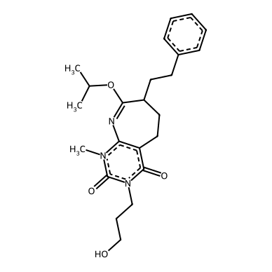 CC(C)OC1=Nc2c(c(=O)n(CCCO)c(=O)n2C)CCC1CCc1ccccc1